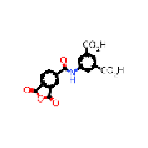 O=C(O)c1cc(NC(=O)c2ccc3c(c2)C(=O)OC3=O)cc(C(=O)O)c1